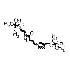 CC(C)(C)OCc1cn(CCCC(=O)NCCSC(C)(C)C)nn1